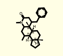 CC1CC2N(C)C(=O)CC(Cc3ccccc3)[C@]2(C)[C@@H]2CC[C@]3(C)CCC[C@H]3[C@H]12